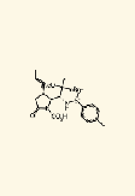 CC=C[C@@H]1CC(=O)N(C(=O)O)C1[C@@H](N[S+]([O-])c1ccc(C)cc1)[C@](C)(CCC)OC